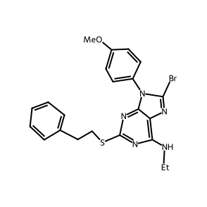 CCNc1nc(SCCc2ccccc2)nc2c1nc(Br)n2-c1ccc(OC)cc1